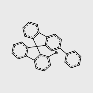 Brc1cccc2c1C1(c3ccccc3-c3ccc(-c4ccccc4)cc31)c1ccccc1-2